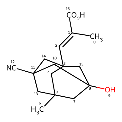 CC(=CC12CC3(C)CC(O)(CC(C#N)(C3)C1)C2)C(=O)O